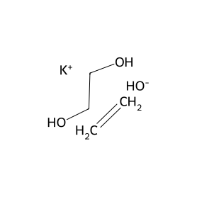 C=C.OCCO.[K+].[OH-]